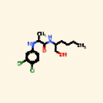 CCCCC(CO)NC(=O)C(C)Nc1ccc(Cl)c(Cl)c1